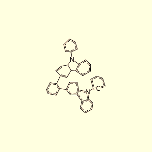 C1=CC2C(C=C1c1ccccc1-c1ccc3c(c1)c1ccccc1n3-c1ccccc1)c1ccccc1N2c1ccccc1